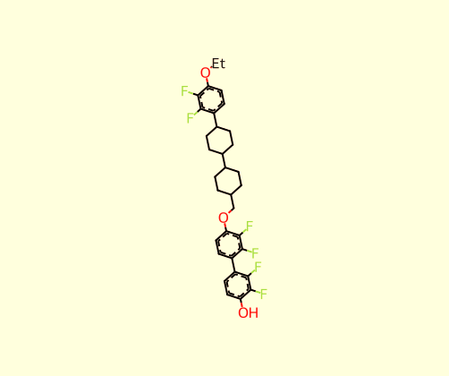 CCOc1ccc(C2CCC(C3CCC(COc4ccc(-c5ccc(O)c(F)c5F)c(F)c4F)CC3)CC2)c(F)c1F